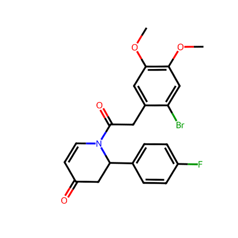 COc1cc(Br)c(CC(=O)N2C=CC(=O)CC2c2ccc(F)cc2)cc1OC